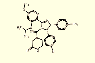 COc1ccc(C2=N[C@H](c3ccc(C)cc3)[C@H](c3ccc(Cl)cc3)N2C(=O)N2CCNC(=O)C2)c(OC(C)C)c1